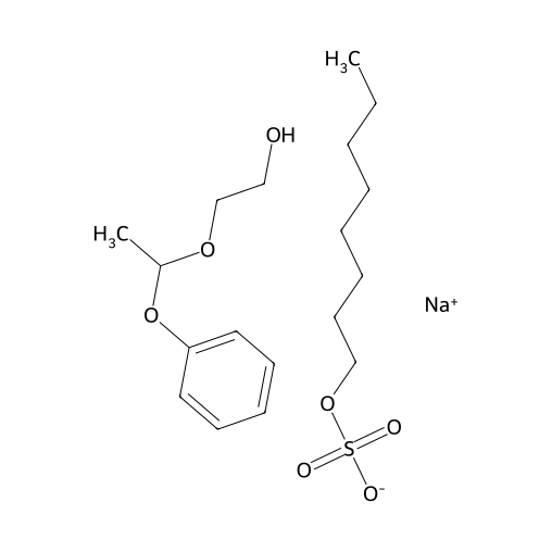 CC(OCCO)Oc1ccccc1.CCCCCCCCOS(=O)(=O)[O-].[Na+]